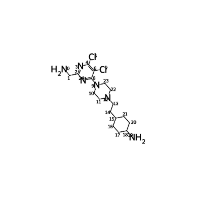 NCc1nc(Cl)c(Cl)c(N2CCN(CCC3CCC(N)CC3)CC2)n1